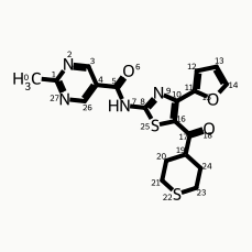 Cc1ncc(C(=O)Nc2nc(-c3ccco3)c(C(=O)C3CCSCC3)s2)cn1